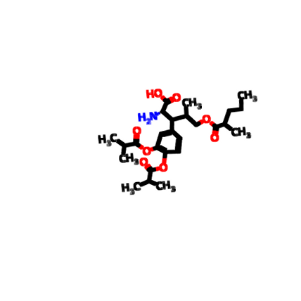 CCCC(C)C(=O)OCC(C)C(c1ccc(OC(=O)C(C)C)c(OC(=O)C(C)C)c1)[C@H](N)C(=O)O